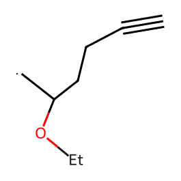 C#CCCC([CH2])OCC